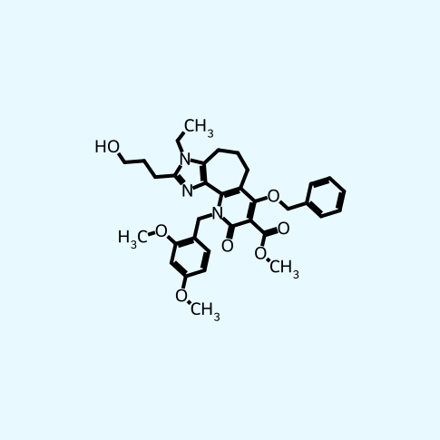 CCn1c(CCCO)nc2c1CCCc1c(OCc3ccccc3)c(C(=O)OC)c(=O)n(Cc3ccc(OC)cc3OC)c1-2